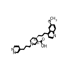 COc1ccc2nccc(CCC[C@@H]3CCN(CCCc4ccnnc4)C[C@@H]3C(=O)O)c2c1